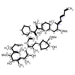 C=C/C=C/C=C(\C)[C@H](C[C@@H]1CC[C@@H](C)[C@](O)(C(=O)C(=O)N2CCCC[C@H]2C(=O)O[C@@H](C[C@@H](O)[C@H](C)/C=C(\C)[C@@H](O)[C@@H](OC)/C(=N/C)[C@H](C)CC(C)C)[C@H](C)C[C@@H]2CC[C@@H](O)[C@H](OC)C2)O1)OC